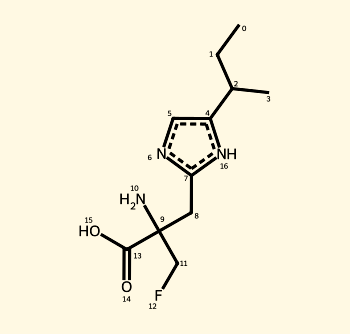 CCC(C)c1cnc(CC(N)(CF)C(=O)O)[nH]1